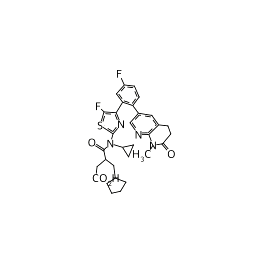 CN1C(=O)CCc2cc(-c3ccc(F)cc3-c3nc(N(C(=O)C(CC(=O)O)CC4CCCC4)C4CC4)sc3F)cnc21